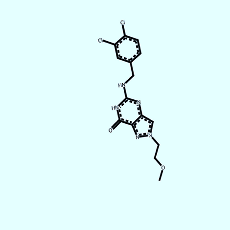 COCCn1cc2nc(NCc3ccc(Cl)c(Cl)c3)[nH]c(=O)c2n1